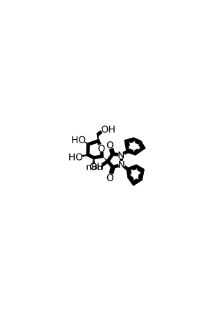 CCCCC1([C@H]2O[C@H](CO)[C@@H](O)[C@H](O)[C@@H]2O)C(=O)N(c2ccccc2)N(c2ccccc2)C1=O